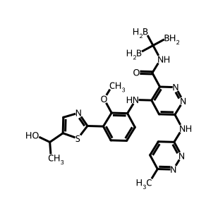 BC(B)(B)NC(=O)c1nnc(Nc2ccc(C)nn2)cc1Nc1cccc(-c2ncc(C(C)O)s2)c1OC